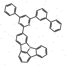 c1ccc(-c2cccc(-c3cc(-c4ccccc4)nc(-c4ccc5c6cccc7c8ccccc8n(c5c4)c76)n3)c2)cc1